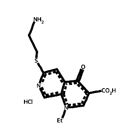 CCn1cc(C(=O)O)c(=O)c2cc(SCCN)ncc21.Cl